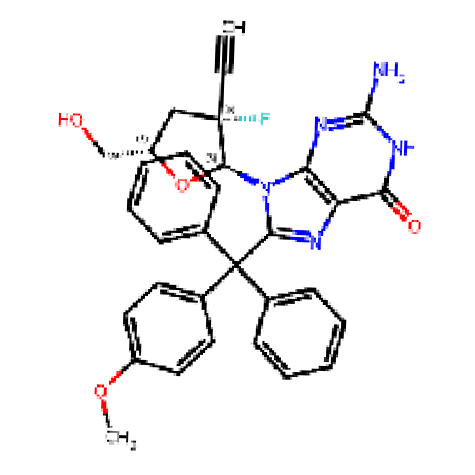 C#C[C@]1(F)C[C@@H](CO)O[C@@H]1n1c(C(c2ccccc2)(c2ccccc2)c2ccc(OC)cc2)nc2c(=O)[nH]c(N)nc21